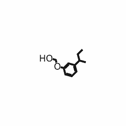 CCC(C)c1cccc(OCO)c1